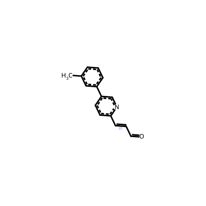 Cc1cccc(-c2ccc(/C=C/C=O)nc2)c1